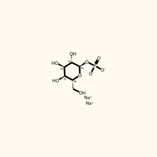 O=P([O-])([O-])O[C@H]1O[C@H](CO)[C@@H](O)[C@@H](O)[C@@H]1O.[Na+].[Na+]